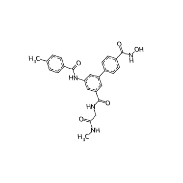 CNC(=O)CNC(=O)c1cc(NC(=O)c2ccc(C)cc2)cc(-c2ccc(C(=O)NO)cc2)c1